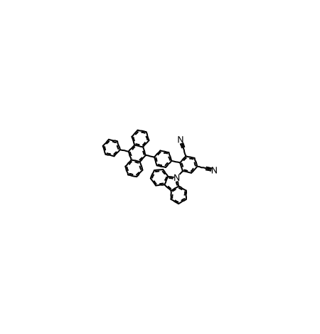 N#Cc1cc(C#N)c(-c2ccc(-c3c4ccccc4c(-c4ccccc4)c4ccccc34)cc2)c(-n2c3ccccc3c3ccccc32)c1